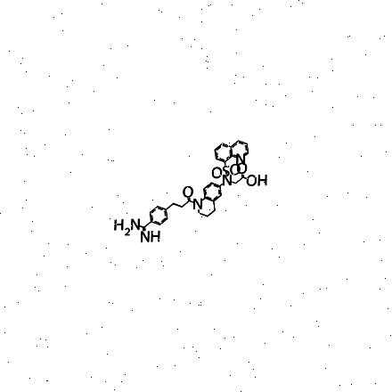 N=C(N)c1ccc(CCC(=O)N2CCCc3cc(N(CC(=O)O)S(=O)(=O)c4cccc5cccnc45)ccc32)cc1